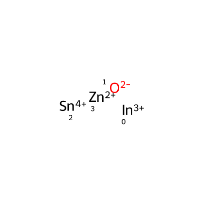 [In+3].[O-2].[Sn+4].[Zn+2]